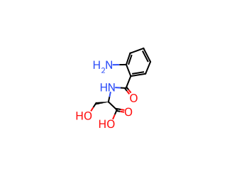 Nc1ccccc1C(=O)N[C@H](CO)C(=O)O